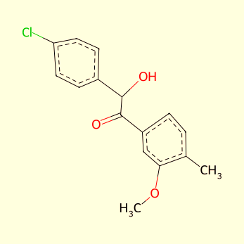 COc1cc(C(=O)C(O)c2ccc(Cl)cc2)ccc1C